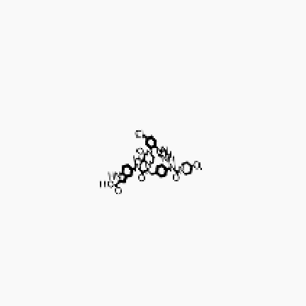 COC1CCN(C(=O)Nc2ccc(C[C@@H](C(=O)Nc3ccc4[nH]c(C(=O)O)cc4c3)N3CCN(c4cc(Cl)ccc4-n4cnnn4)C(=O)C3=O)cc2)CC1